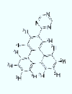 [2H]c1c([2H])c([2H])c2c(c1[2H])c1c([2H])c([2H])c([2H])c([2H])c1c1c([2H])c(-c3ncncn3)c([2H])c([2H])c21